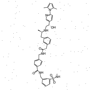 CNS(=O)(=O)c1cccc(CNC(=O)c2ccc(CNC(=O)Cc3cccc(C[C@@H](C)NC[C@@H](O)c4ccc(-n5c(C)ccc5C)nc4)c3)cc2)c1